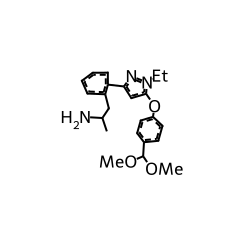 CCn1nc(-c2ccccc2CC(C)N)cc1Oc1ccc(C(OC)OC)cc1